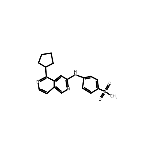 CS(=O)(=O)c1ccc(Nc2cc3c(C4CCCC4)nccc3cn2)cc1